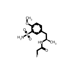 COc1ccc(C[C@@H](C)NC(=O)CF)cc1S(N)(=O)=O